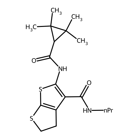 CCCNC(=O)c1c(NC(=O)C2C(C)(C)C2(C)C)sc2c1CCS2